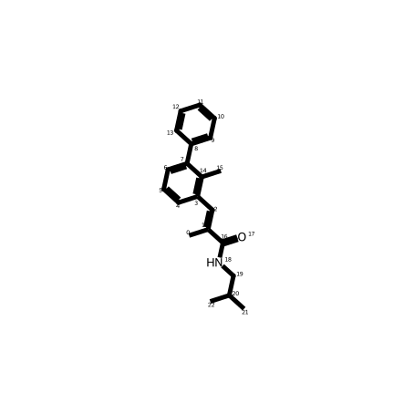 C/C(=C\c1cccc(-c2ccccc2)c1C)C(=O)NCC(C)C